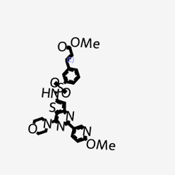 COC(=O)/C=C/c1cccc(S(=O)(=O)Nc2cc3nc(-c4ccc(OC)nc4)nc(N4CCOCC4)c3s2)c1